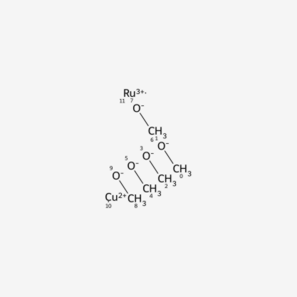 C[O-].C[O-].C[O-].C[O-].C[O-].[Cu+2].[Ru+3]